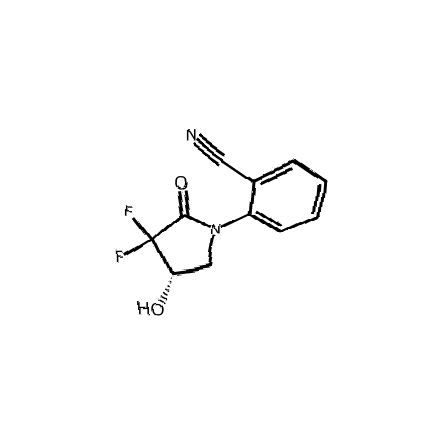 N#Cc1ccccc1N1C[C@H](O)C(F)(F)C1=O